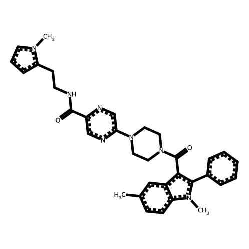 Cc1ccc2c(c1)c(C(=O)N1CCN(c3cnc(C(=O)NCCc4cccn4C)cn3)CC1)c(-c1ccccc1)n2C